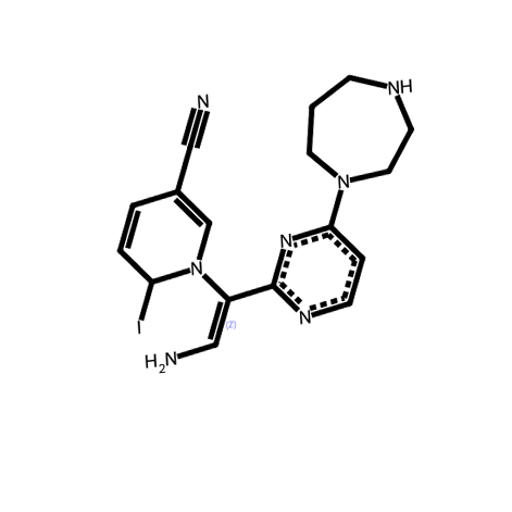 N#CC1=CN(/C(=C\N)c2nccc(N3CCCNCC3)n2)C(I)C=C1